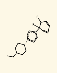 CC[C@H]1CC[C@H](c2ccc(C3(F)C=CC=CC3F)cc2)CC1